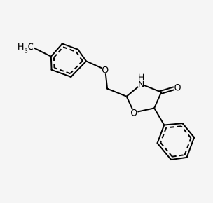 Cc1ccc(OCC2NC(=O)C(c3ccccc3)O2)cc1